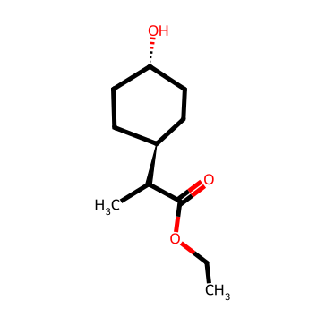 CCOC(=O)C(C)[C@H]1CC[C@H](O)CC1